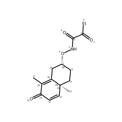 CCC(=O)C(=O)NO[C@@H]1CC[C@@]2(C)C=CC(=O)C(C)=C2C1